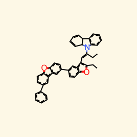 CC/C(=C\c1c(CC)oc2ccc(-c3ccc4oc5ccc(-c6ccccc6)cc5c4c3)cc12)N1c2ccccc2C2C=CC=CC21